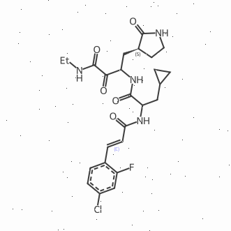 CCNC(=O)C(=O)C(C[C@@H]1CCNC1=O)NC(=O)C(CC1CC1)NC(=O)/C=C/c1ccc(Cl)cc1F